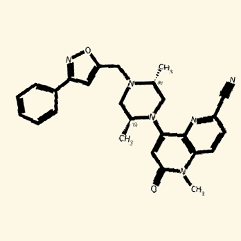 C[C@@H]1CN(c2cc(=O)n(C)c3ccc(C#N)nc23)[C@@H](C)CN1Cc1cc(-c2ccccc2)no1